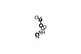 Clc1cc(-c2ccc3c(c2)OCC[C@@H]3CNc2cccnc2)cs1